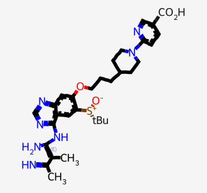 CC(=N)/C(C)=C(\N)Nc1ncnc2cc(OCCCC3CCN(c4ccc(C(=O)O)cn4)CC3)c([S+]([O-])C(C)(C)C)cc12